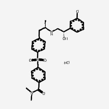 C[C@H](Cc1ccc(S(=O)(=O)c2ccc(C(=O)N(C)C)cc2)cc1)NC[C@@H](O)c1cccc(Cl)c1.Cl